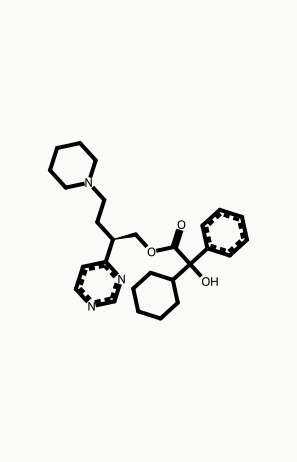 O=C(OC[C@H](CCN1CCCCC1)c1ccncn1)C(O)(c1ccccc1)C1CCCCC1